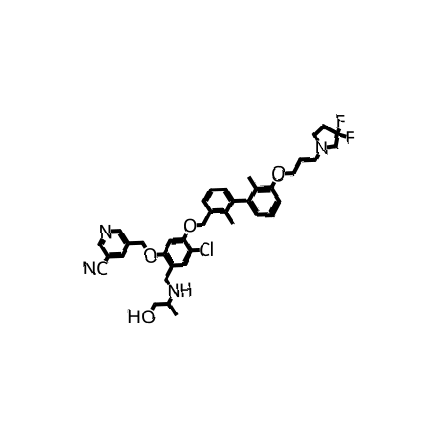 Cc1c(COc2cc(OCc3cncc(C#N)c3)c(CNC(C)CO)cc2Cl)cccc1-c1cccc(OCCCN2CCC(F)(F)C2)c1C